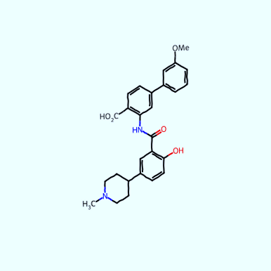 COc1cccc(-c2ccc(C(=O)O)c(NC(=O)c3cc(C4CCN(C)CC4)ccc3O)c2)c1